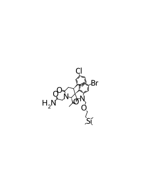 C=C(C)[C@H]1N(CC(N)=O)C(=O)C[C@@H](c2cccc(Cl)c2)[C@]12C(=O)N(COCC[Si](C)(C)C)c1cc(Br)ccc12